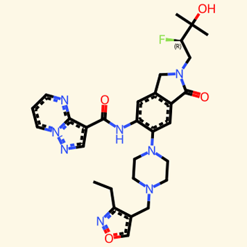 CCc1nocc1CN1CCN(c2cc3c(cc2NC(=O)c2cnn4cccnc24)CN(C[C@@H](F)C(C)(C)O)C3=O)CC1